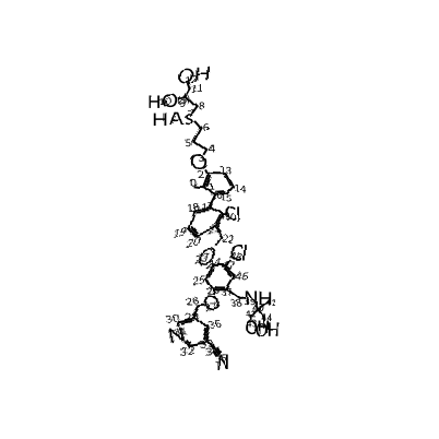 Cc1c(OCCC[AsH]C[C@@H](O)CO)cccc1-c1cccc(COc2cc(OCc3cncc(C#N)c3)c(CNC(C)(CO)CO)cc2Cl)c1Cl